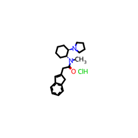 CN(C(=O)CC1=Cc2ccccc2C1)[C@@H]1CCCC[C@H]1N1CCCC1.Cl